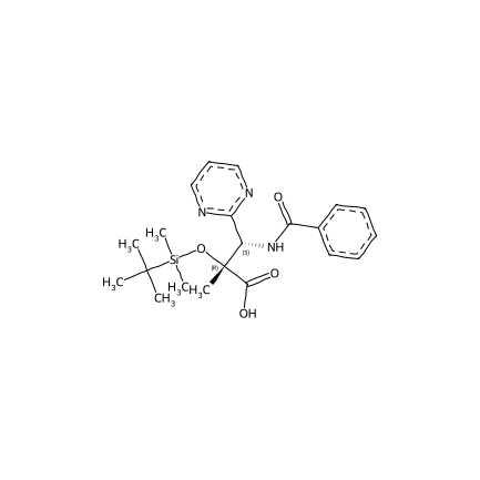 CC(C)(C)[Si](C)(C)O[C@@](C)(C(=O)O)[C@@H](NC(=O)c1ccccc1)c1ncccn1